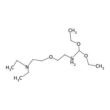 CCOC(OCC)[SiH2]CCOCCN(CC)CC